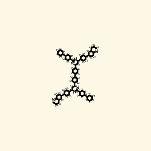 c1ccc(-c2ccc(-c3nc(-c4ccc(-c5ccc(-c6cc(-c7ccc(-c8ccc9ncccc9c8)cc7)nc(-c7ccc(-c8ccccc8)cc7)n6)cc5)cc4)cc(-c4ccc(-c5ccc6ncccc6c5)cc4)n3)cc2)cc1